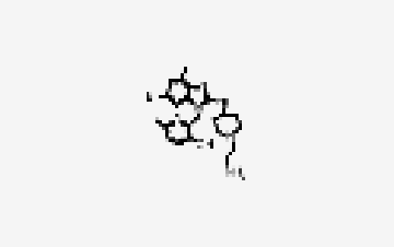 Cc1ccc(O)c(Cn2c(NC3CCN(CCN)CC3)nc3c(C)cc(Br)cc32)n1